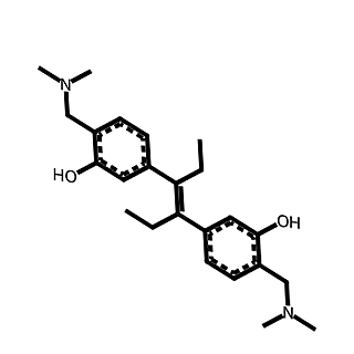 CC/C(=C(/CC)c1ccc(CN(C)C)c(O)c1)c1ccc(CN(C)C)c(O)c1